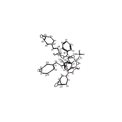 CC(C)(C)O[Si](O[Si](C)(C)CCC1CCC2OC2C1)(O[Si](O[Si](C)(C)CCC1CCC2OC2C1)(O[Si](C)(C)CCC1CCC2OC2C1)c1ccccc1)c1ccccc1